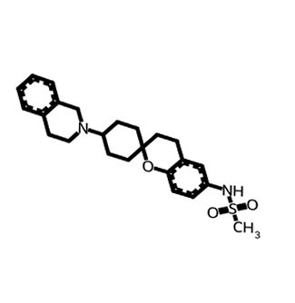 CS(=O)(=O)Nc1ccc2c(c1)CCC1(CCC(N3CCc4ccccc4C3)CC1)O2